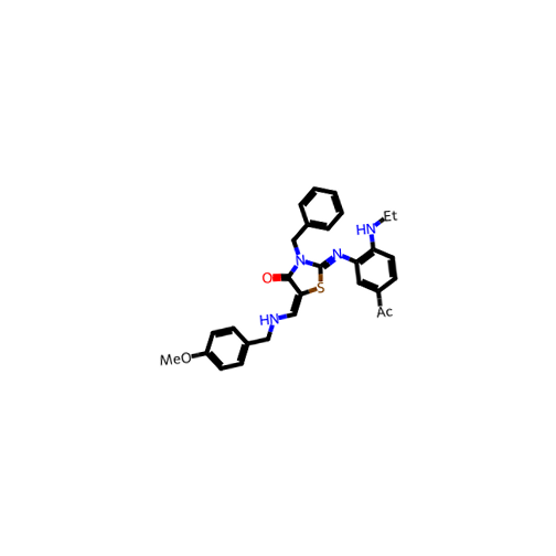 CCNc1ccc(C(C)=O)cc1N=C1SC(=CNCc2ccc(OC)cc2)C(=O)N1Cc1ccccc1